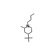 CCCCN1CCC(C(C)(C)C)CC1C